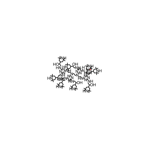 CC1(C)CC(C(O)CNc2nc(NCCN(CCN(CCNc3nc(NCC(O)C4CC(C)(C)NC(C)(C)C4)nc(NCC(O)C4CC(C)(C)NC(C)(C)C4)n3)c3nc(NCC(O)C4CC(C)(C)NC(C)(C)C4)nc(NCC(O)C4CC(C)(C)NC(C)(C)C4)n3)c3nc(NCC(O)C4CC(C)(C)NC(C)(C)C4)nc(NCC(O)C4CC(C)(C)NC(C)(C)C4)n3)nc(NCC(O)C3CC(C)(C)NC(C)(C)C3)n2)CC(C)(C)N1